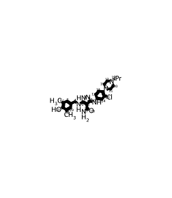 Cc1cc(CNc2[nH]nc(Nc3ccc(N4CCN(C(C)C)CC4)c(Cl)c3)c2C(N)=O)cc(C)c1O